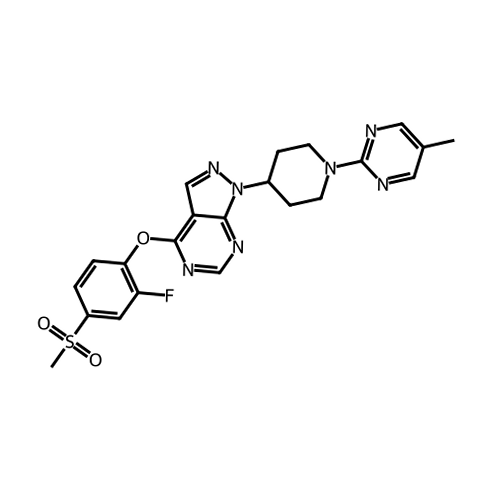 Cc1cnc(N2CCC(n3ncc4c(Oc5ccc(S(C)(=O)=O)cc5F)ncnc43)CC2)nc1